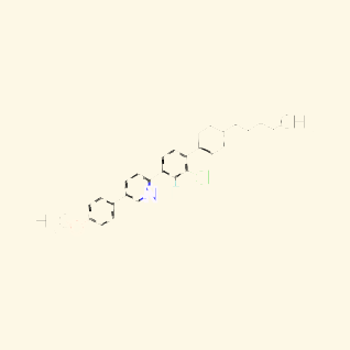 CCCCCC1CC=C(c2ccc(-c3ccc(-c4ccc(OC)cc4)cn3)c(F)c2Cl)CC1